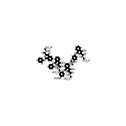 CC(=O)Nc1ccc(Oc2nc(C(=O)NCC(=O)O)c(O)c3ccccc23)cc1.COc1ccccc1Oc1nc(C(=O)NCC(=O)O)c(O)c2ccccc12.CS(=O)(=O)Nc1ccc(Oc2nc(C(=O)NCC(=O)O)c(O)c3ccccc23)cc1.O=C(O)CNC(=O)c1nc(Oc2ccccc2F)c2ccccc2c1O